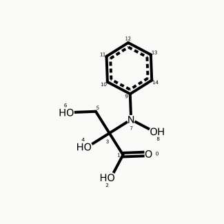 O=C(O)C(O)(CO)N(O)c1ccccc1